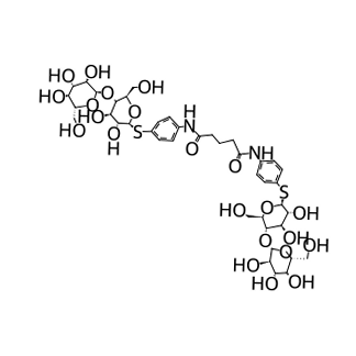 O=C(CCCC(=O)Nc1ccc(S[C@@H]2O[C@H](CO)[C@@H](O[C@H]3O[C@H](CO)[C@@H](O)[C@H](O)[C@H]3O)[C@H](O)[C@H]2O)cc1)Nc1ccc(S[C@@H]2O[C@H](CO)[C@@H](O[C@H]3O[C@H](CO)[C@@H](O)[C@H](O)[C@H]3O)[C@H](O)[C@H]2O)cc1